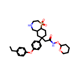 CCc1ccc(Oc2ccc(C3(CC(=O)NOC4CCCCO4)CCC4C(CNCCS4(=O)=O)C3)cc2)cc1